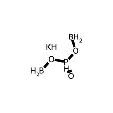 BO[PH](=O)OB.[KH]